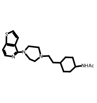 CC(=O)NC1CCC(CCN2CCN(c3nccc4sccc34)CC2)CC1